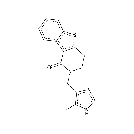 Cc1[nH]cnc1CN1CCc2sc3ccccc3c2C1=O